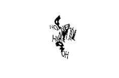 CC(C)(CO)c1ccc(Nc2ncc(C(=O)O)c(N[C@H](CO)c3ccccc3)n2)cc1